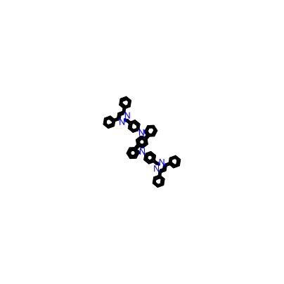 C1=CCCC(c2cc(C3=CCCC=C3)nc(C3=CCC(n4c5c(c6cc7c(cc64)c4ccccc4n7-c4ccc(-c6nc(C7=CCCC=C7)cc(C7=CC=CCC7)n6)cc4)C=CCC5)C=C3)n2)=C1